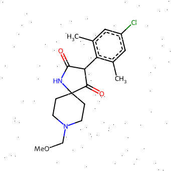 COCN1CCC2(CC1)NC(=O)C(c1c(C)cc(Cl)cc1C)C2=O